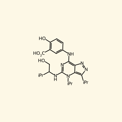 CC(C)c1nnc2c(Nc3ccc(O)c(C(=O)O)c3)nc(NC(CO)C(C)C)n(C(C)C)c1-2